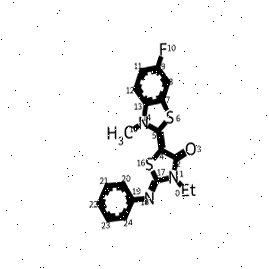 CCN1C(=O)/C(=C2\Sc3cc(F)ccc3N2C)S/C1=N\c1ccccc1